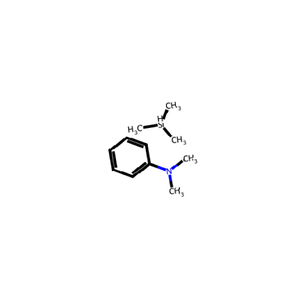 CN(C)c1ccccc1.C[SiH](C)C